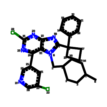 CC1CCC(Cn2c(C3(c4ccccc4)CCC3)nc3nc(Cl)nc(-c4cncc(Cl)c4)c32)CC1